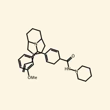 C=CCN1CCC2CCCC(C1)N2C(C1=CCC(C(=O)NN2CCCCC2)C=C1)c1cccc(OC)c1